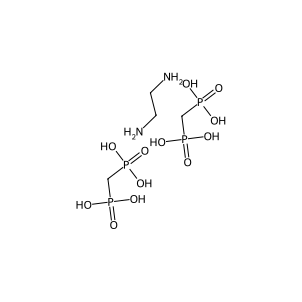 NCCN.O=P(O)(O)CP(=O)(O)O.O=P(O)(O)CP(=O)(O)O